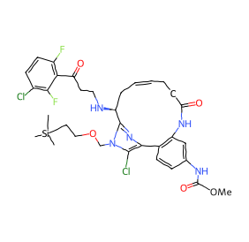 COC(=O)Nc1ccc2c(c1)NC(=O)CCC=CC[C@H](NCCC(=O)c1c(F)ccc(Cl)c1F)c1nc-2c(Cl)n1COCC[Si](C)(C)C